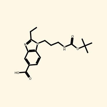 CCc1nc2cc(C(=O)O)ccc2n1CCCNC(=O)OC(C)(C)C